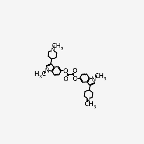 CN1CCC(c2cn(C)c3ccc(OC(=O)C(=O)Oc4ccc5c(c4)c(C4CCN(C)CC4)cn5C)cc23)CC1